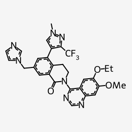 CCOc1cc2c(N3CCc4c(cc(Cn5ccnc5)cc4-c4cn(C)nc4C(F)(F)F)C3=O)ncnc2cc1OC